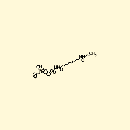 CCCCNC(=O)CCCCCCCCCCCC(=O)NCCC(=O)Oc1cccc2c1CC[C@H](N(CCC)CCc1cccs1)C2